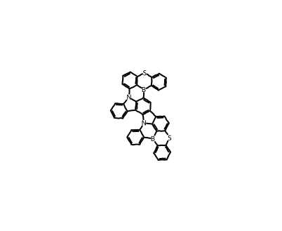 c1ccc2c(c1)Sc1cccc3c1B2c1cc2c4ccc5c6c4n(c2c2c4ccccc4n-3c12)-c1ccccc1B6c1ccccc1S5